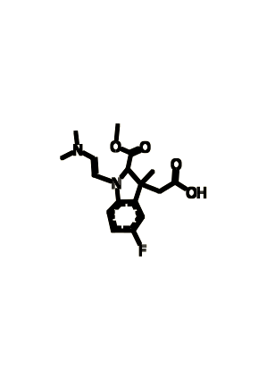 COC(=O)C1N(C=CN(C)C)c2ccc(F)cc2C1(C)CC(=O)O